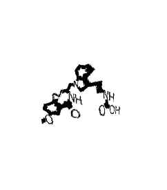 COc1ccc2nc(CN3CC(CCNC(=O)O)c4ccccc43)[nH]c(=O)c2c1